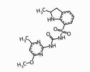 COc1cc(C)nc(NC(=O)NS(=O)(=O)c2cccc3c2NC(C)C3)n1